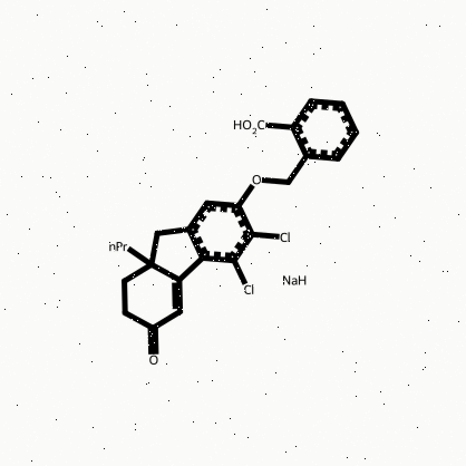 CCCC12CCC(=O)C=C1c1c(cc(OCc3ccccc3C(=O)O)c(Cl)c1Cl)C2.[NaH]